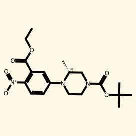 CCOC(=O)c1cc(N2CCN(C(=O)OC(C)(C)C)C[C@H]2C)ccc1[N+](=O)[O-]